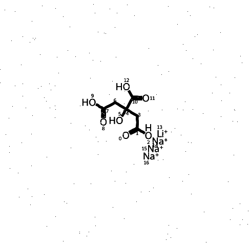 O=C(O)CC(O)(CC(=O)O)C(=O)O.[Li+].[Na+].[Na+].[Na+]